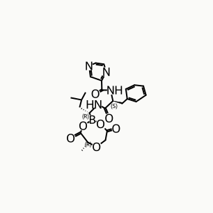 CC(C)C[C@H](NC(=O)[C@H](Cc1ccccc1)NC(=O)c1cnccn1)B1OC(=O)CO[C@H](C)C(=O)O1